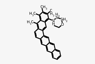 Cc1c(C)c(C)c2c(C)c3ccc4cc5cc6ccccc6cc5cc4c3cc2c1[SiH]1CCO[SiH2][SiH2]1